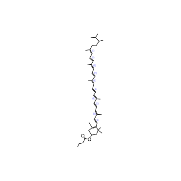 CCCC(=O)OC1CC(C)=C(/C=C/C(C)=C/C=C/C(C)=C/C=C/C=C(C)/C=C/C=C(C)/C=C/C=C(\C)CCC(C)C(C)C)C(C)(C)C1